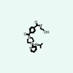 CC(C)Nc1cccnc1N1CCN(C(=O)c2ccc(C(=O)N(C)CCO)cc2)CC1